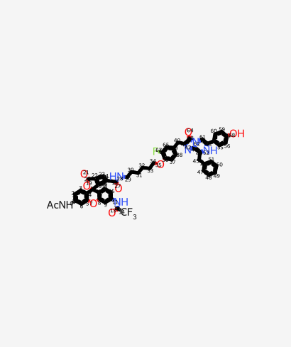 CC(=O)Nc1ccc2c(c1)Oc1cc(NC(=O)C(F)(F)F)ccc1C21OC(=O)c2ccc(C(=O)NCCCCCCOc3ccc(Cc4nc5c(Cc6ccccc6)[nH]c(-c6ccc(O)cc6)cn-5c4=O)cc3F)cc21